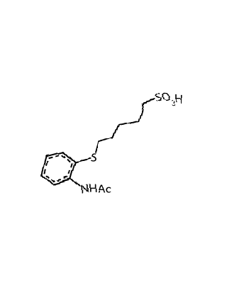 CC(=O)Nc1ccccc1SCCCCCS(=O)(=O)O